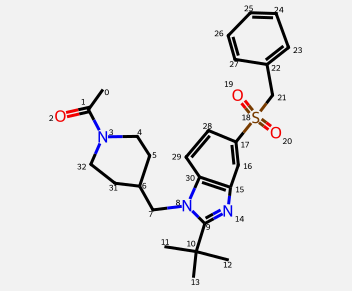 CC(=O)N1CCC(Cn2c(C(C)(C)C)nc3cc(S(=O)(=O)Cc4ccccc4)ccc32)CC1